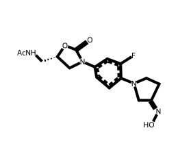 CC(=O)NC[C@H]1CN(c2ccc(N3CCC(=NO)C3)c(F)c2)C(=O)O1